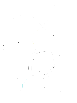 CC(C)(C)Sc1cccc(F)c1